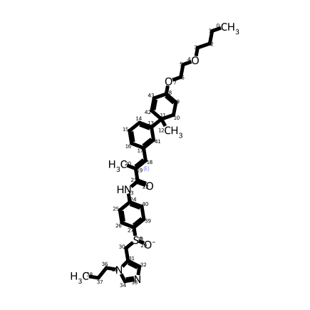 CCCCOCCOC1=CCC(C)(c2cccc(/C=C(\C)C(=O)Nc3ccc([S+]([O-])Cc4cncn4CCC)cc3)c2)C=C1